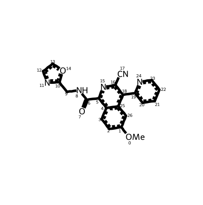 COc1ccc2c(C(=O)NCc3ncco3)nc(C#N)c(-c3ccccn3)c2c1